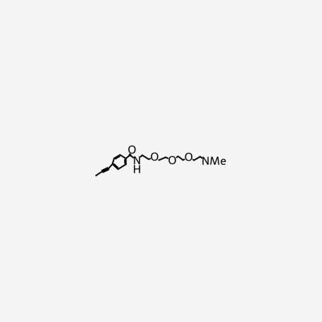 CC#Cc1ccc(C(=O)NCCOCCOCCOCCNC)cc1